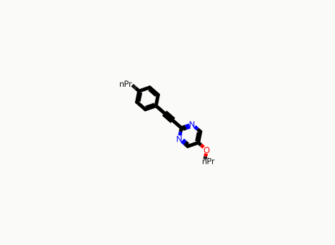 CCCOc1cnc(C#Cc2ccc(CCC)cc2)nc1